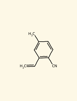 C=Cc1cc(C)ccc1C#N